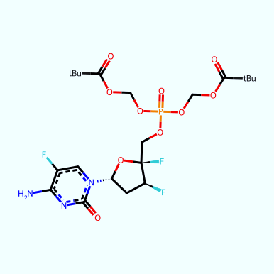 CC(C)(C)C(=O)OCOP(=O)(OCOC(=O)C(C)(C)C)OC[C@@]1(F)O[C@@H](n2cc(F)c(N)nc2=O)C[C@@H]1F